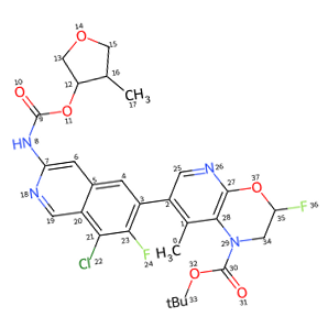 Cc1c(-c2cc3cc(NC(=O)OC4COCC4C)ncc3c(Cl)c2F)cnc2c1N(C(=O)OC(C)(C)C)CC(F)O2